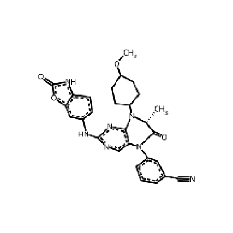 COC1CCC(N2c3nc(Nc4ccc5[nH]c(=O)oc5c4)ncc3N(c3cccc(C#N)c3)C(=O)[C@H]2C)CC1